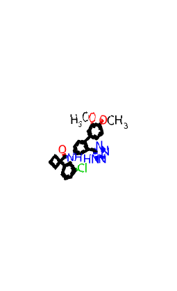 COc1ccc(-c2ccc(NC(=O)C3(c4cccc(Cl)c4)CCC3)cc2-c2nnn[nH]2)cc1OC